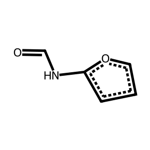 O=CNc1ccco1